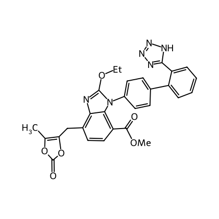 CCOc1nc2c(Cc3oc(=O)oc3C)ccc(C(=O)OC)c2n1-c1ccc(-c2ccccc2-c2nnn[nH]2)cc1